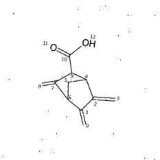 C=C1C(=C)C2CC1C(=C)C2C(=O)O